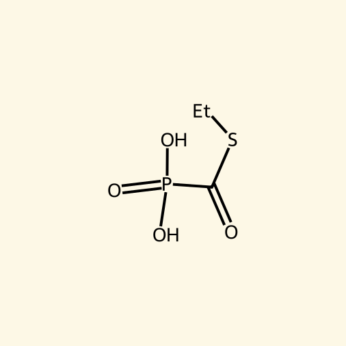 CCSC(=O)P(=O)(O)O